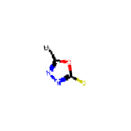 CCc1nnc([S])o1